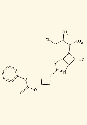 C=C(CCl)C(C(=O)O)N1C(=O)C2N=C(C3CC(OC(=O)Oc4ccccc4)C3)SC21